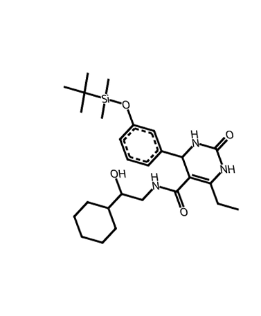 CCC1=C(C(=O)NCC(O)C2CCCCC2)C(c2cccc(O[Si](C)(C)C(C)(C)C)c2)NC(=O)N1